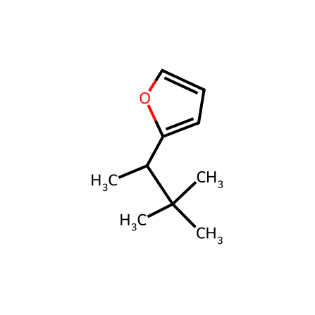 CC(c1ccco1)C(C)(C)C